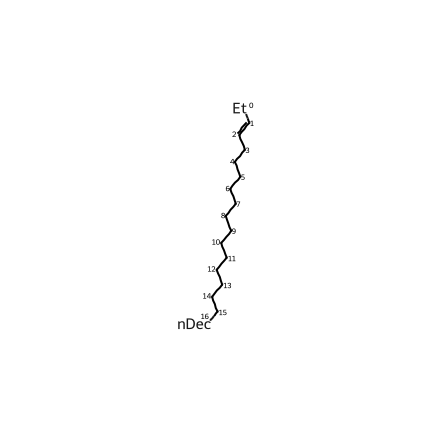 [CH2]CC=CCCCCCCCCCCCCCCCCCCCCCC[CH2]